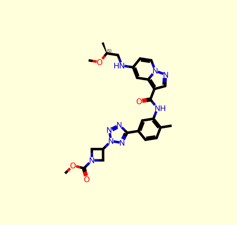 COC(=O)N1CC(n2nnc(-c3ccc(C)c(NC(=O)c4cnn5ccc(NC[C@H](C)OC)cc45)c3)n2)C1